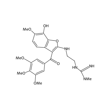 CNC(=N)NCCNc1oc2c(O)c(OC)ccc2c1C(=O)c1cc(OC)c(OC)c(OC)c1